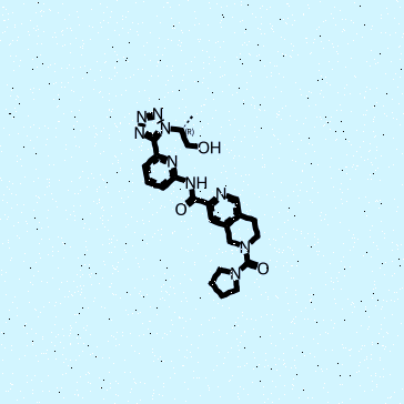 C[C@H](CO)n1nnnc1-c1cccc(NC(=O)c2cc3c(cn2)CCN(C(=O)N2CCCC2)C3)n1